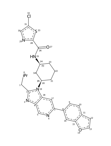 CC(C)Cc1nc2cnc(-c3ccc4ccoc4c3)cc2n1[C@@H]1CCC[C@H](NC(=O)c2ncc(Cl)s2)C1